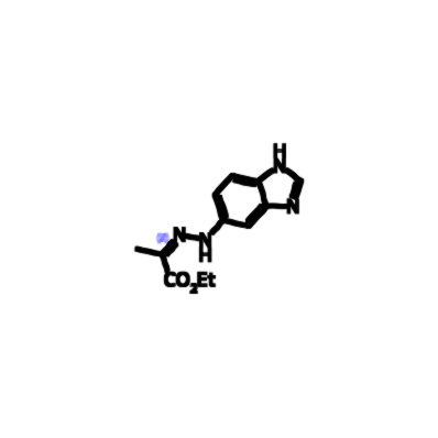 CCOC(=O)/C(C)=N\Nc1ccc2[nH]cnc2c1